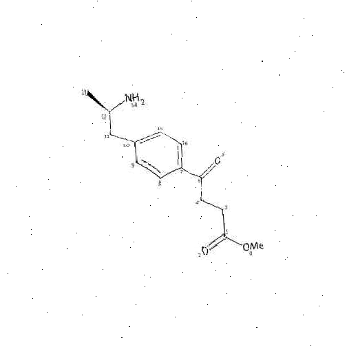 COC(=O)CCC(=O)c1ccc(C[C@@H](C)N)cc1